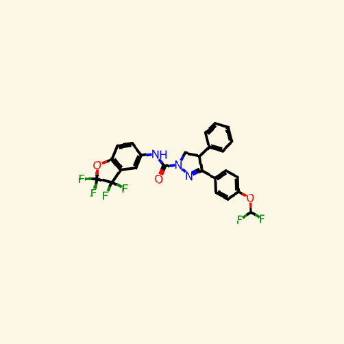 O=C(Nc1ccc2c(c1)C(F)(F)C(F)(F)O2)N1CC(c2ccccc2)C(c2ccc(OC(F)F)cc2)=N1